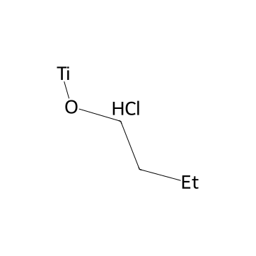 CCCC[O][Ti].Cl